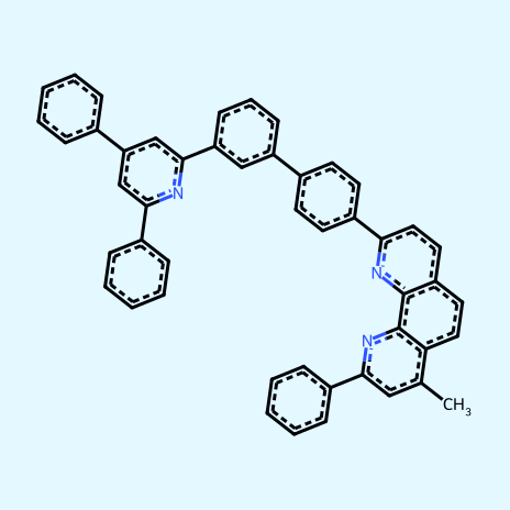 Cc1cc(-c2ccccc2)nc2c1ccc1ccc(-c3ccc(-c4cccc(-c5cc(-c6ccccc6)cc(-c6ccccc6)n5)c4)cc3)nc12